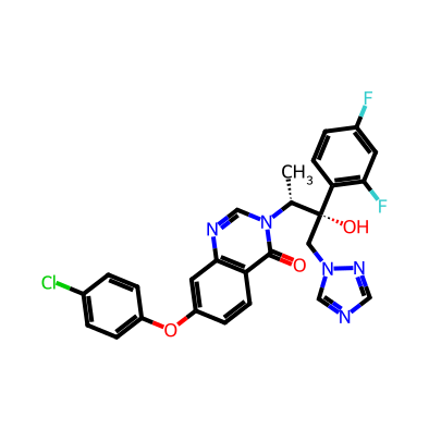 C[C@@H](n1cnc2cc(Oc3ccc(Cl)cc3)ccc2c1=O)[C@](O)(Cn1cncn1)c1ccc(F)cc1F